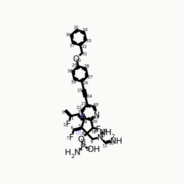 C=C(F)/C=C\C(=C\F)C(CN(N)C=N)(OP(N)O)C(F)c1ccc(C#Cc2ccc(OCc3ccccc3)cc2)cn1